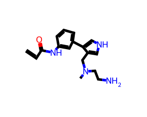 C=CC(=O)Nc1cccc(-c2c[nH]cc2CN(C)CCN)c1